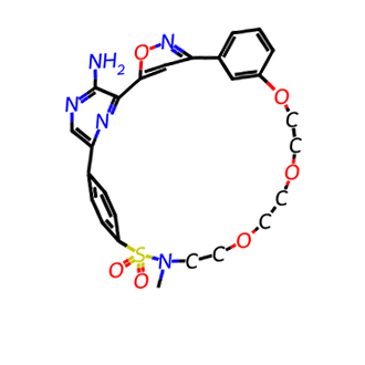 CN1CCOCCOCCOc2cccc(c2)-c2cc(on2)-c2nc(cnc2N)-c2ccc(cc2)S1(=O)=O